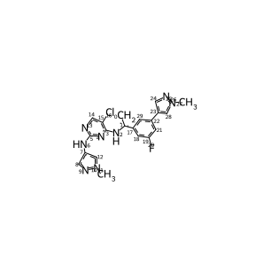 [CH2][C](Nc1nc(Nc2cnn(C)c2)ncc1Cl)c1cc(F)cc(-c2cnn(C)c2)c1